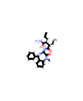 C=CC[C@H](C(N)=O)[C@@H](CC(C)C)C(=O)NC1N=C(c2ccccc2)c2ccccc2N(C)C1=O